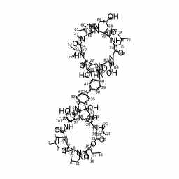 CC(C)C[C@@H]1NC(=O)[C@H]2CCCNN2C(=O)[C@H](C(C)C)OC(=O)[C@@H](C(C)C)NC(=O)[C@@H]2C[C@@]3(O)c4cc(-c5ccc6c(c5)[C@]5(O)C[C@H]7C(=O)N[C@H](C(C)C)C(=O)N(C)[C@@H](C(C)C)C(=O)N8NC[C@H](O)C[C@@H]8C(=O)N[C@@H](CC(C)C)C(=O)N[C@H]([C@H](C)O)C(=O)N7[C@@H]5N6)ccc4N[C@H]3N2C(=O)[C@@H]([C@H](C)O)NC1=O